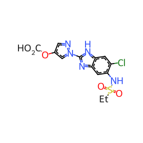 CCS(=O)(=O)Nc1cc2nc(-n3cc(OC(=O)O)cn3)[nH]c2cc1Cl